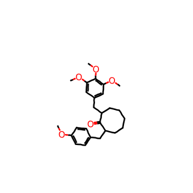 COc1ccc(CC2CCCCCC(Cc3cc(OC)c(OC)c(OC)c3)C2=O)cc1